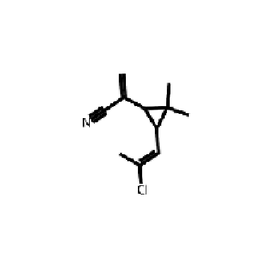 C=C(C#N)C1C(/C=C(\C)Cl)C1(C)C